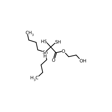 CCC[CH2][SnH]([CH2]CCC)[C](S)(S)C(=O)OCCO